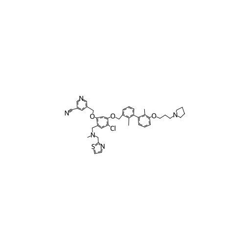 Cc1c(COc2cc(OCc3cncc(C#N)c3)c(CN(C)Cc3nccs3)cc2Cl)cccc1-c1cccc(OCCCN2CCCC2)c1C